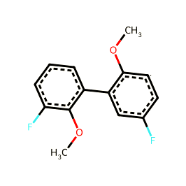 COc1[c]cc(F)cc1-c1cccc(F)c1OC